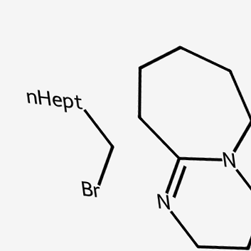 C1CCC2=NCCCN2CC1.CCCCCCCCBr